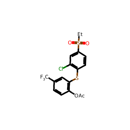 CCS(=O)(=O)c1ccc(Sc2cc(C(F)(F)F)ccc2OC(C)=O)c(Cl)c1